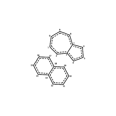 c1ccc2cccc-2cc1.c1ccc2ccccc2c1